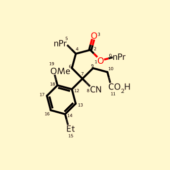 CCCOC(=O)C(CCC)CC(C#N)(CCC(=O)O)c1cc(CC)ccc1OC